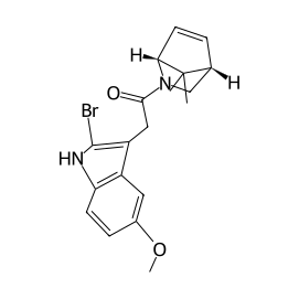 COc1ccc2[nH]c(Br)c(CC(=O)N3C[C@H]4C=C[C@@H]3C4(C)C)c2c1